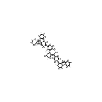 C1=CCC(N2c3ccccc3C3C=C(c4ccc5c(c4)-c4ccccc4C(c4ccc(-c6cccc7c6oc6ccccc67)cc4)CC5)C=C[C@@H]32)C=C1